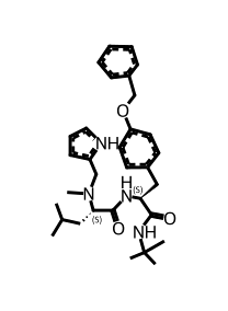 CC(C)C[C@@H](C(=O)N[C@@H](Cc1ccc(OCc2ccccc2)cc1)C(=O)NC(C)(C)C)N(C)Cc1ccc[nH]1